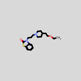 CCOCCC1CCN(CCCn2c(=O)sc3ccccc32)CC1